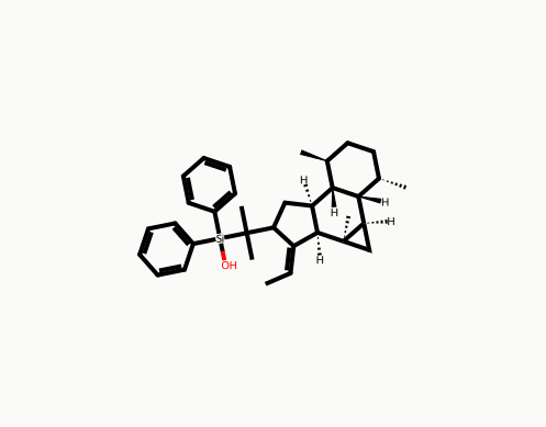 C/C=C1\C(C(C)(C)[Si](O)(c2ccccc2)c2ccccc2)C[C@H]2[C@H]3[C@@H]([C@H]4C[C@@]4(C)[C@@H]12)[C@@H](C)CC[C@@H]3C